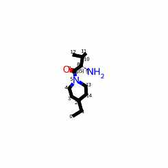 CCC1CCN(C(=O)[C@@H](N)C(C)C)CC1